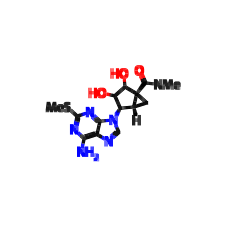 CNC(=O)[C@@]12C[C@@H]1[C@@H](n1cnc3c(N)nc(SC)nc31)C(O)C2O